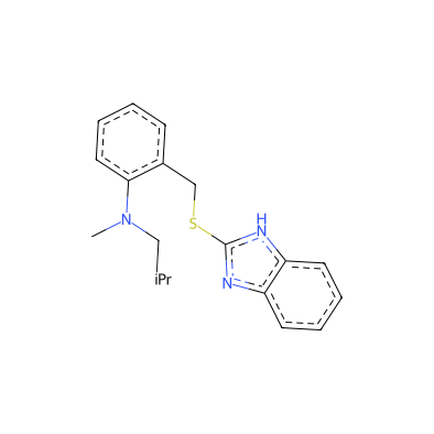 CC(C)CN(C)c1ccccc1CSc1nc2ccccc2[nH]1